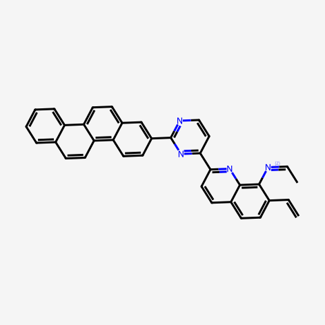 C=Cc1ccc2ccc(-c3ccnc(-c4ccc5c(ccc6c7ccccc7ccc56)c4)n3)nc2c1/N=C\C